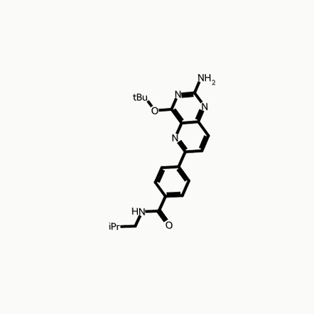 CC(C)CNC(=O)c1ccc(-c2ccc3nc(N)nc(OC(C)(C)C)c3n2)cc1